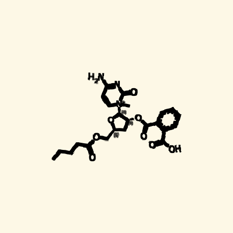 CCCCC(=O)OC[C@@H]1C[C@@H](OC(=O)c2ccccc2C(=O)O)[C@H]([N+]2(C)C=CC(N)=NC2=O)O1